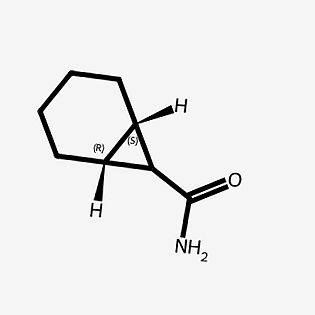 NC(=O)C1[C@H]2CCCC[C@@H]12